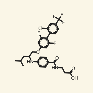 CC(C)CC(COc1cc(F)c(-c2ccc(C(F)(F)F)cc2Cl)c(F)c1)Nc1ccc(C(=O)NCCC(=O)O)cc1